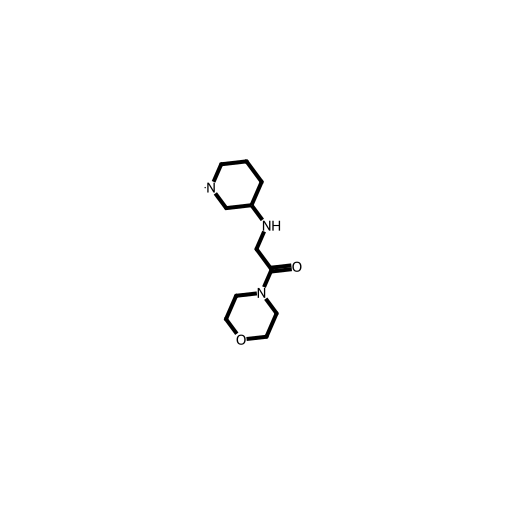 O=C(CNC1CCC[N]C1)N1CCOCC1